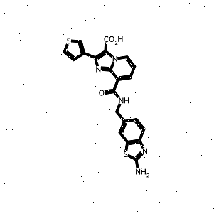 Nc1nc2ccc(CNC(=O)c3cccn4c(C(=O)O)c(-c5ccsc5)nc34)cc2s1